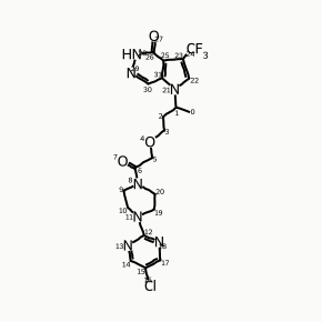 CC(CCOCC(=O)N1CCN(c2ncc(Cl)cn2)CC1)n1cc(C(F)(F)F)c2c(=O)[nH]ncc21